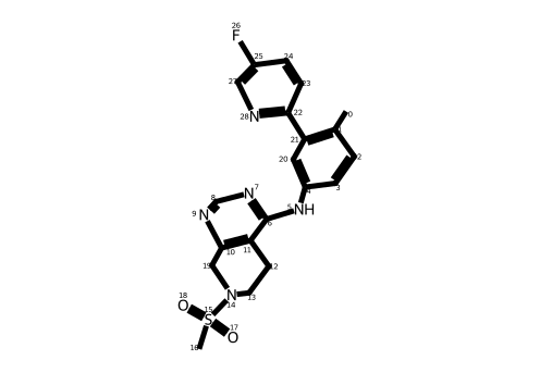 Cc1ccc(Nc2ncnc3c2CCN(S(C)(=O)=O)C3)cc1-c1ccc(F)cn1